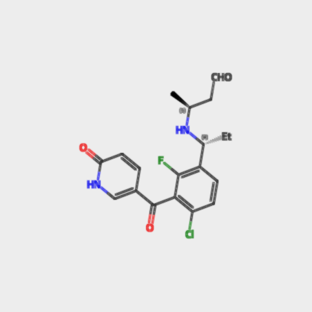 CC[C@@H](N[C@@H](C)CC=O)c1ccc(Cl)c(C(=O)c2ccc(=O)[nH]c2)c1F